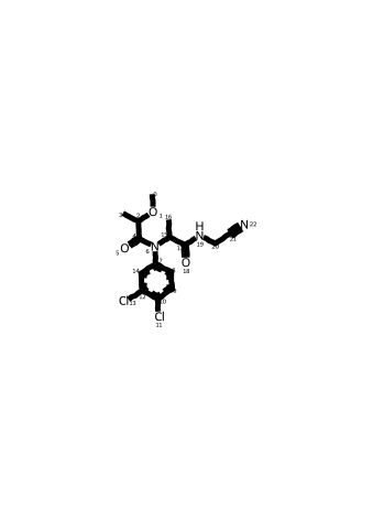 COC(C)C(=O)N(c1ccc(Cl)c(Cl)c1)C(C)C(=O)NCC#N